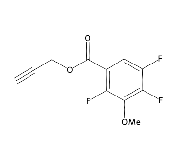 C#CCOC(=O)c1cc(F)c(F)c(OC)c1F